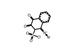 [N-]=[N+]=C1c2ccccc2C(=O)C(=O)C1S(=O)(=O)Cl